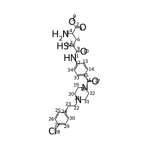 COC(=O)C(N)C[C@H](S)C(=O)Nc1ccc(C(=O)N2CCN(CCc3ccc(Cl)cc3)CC2)cc1